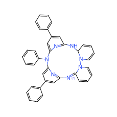 C1=C/C2=N/c3cc(-c4ccccc4)cc(n3)N(c3ccccc3)c3cc(-c4ccccc4)cc(n3)NC3C=CC=CN3N2C=C1